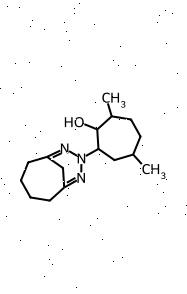 CC1CCC(C)C(O)C(N2N=C3CCCCC(=N2)C3)C1